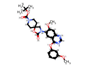 COc1cccc(Oc2ncnc3cc(OC)c(N4CC5(CCN(C(=O)OC(C)(C)C)CC5)OC4=O)cc23)c1